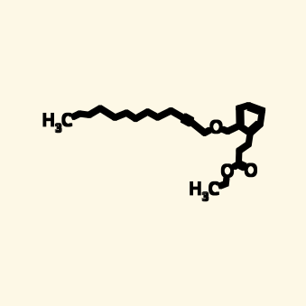 CCCCCCCCCCC#CCOCc1ccccc1CCC(=O)OCC